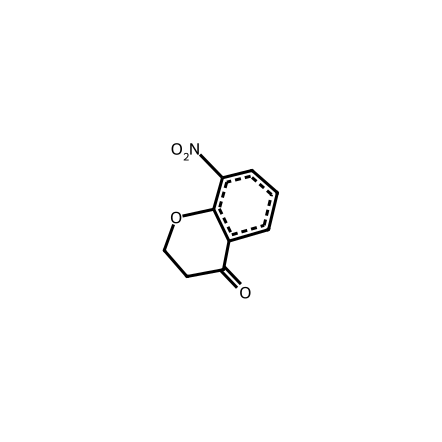 O=C1CCOc2c1cccc2[N+](=O)[O-]